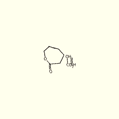 C=C.O=C(O)O.O=C1CCCCCO1